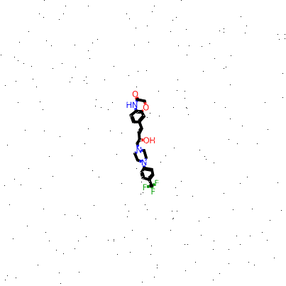 O=C1COc2cc(/C=C/C(O)CN3CCN(c4ccc(C(F)(F)F)cc4)CC3)ccc2N1